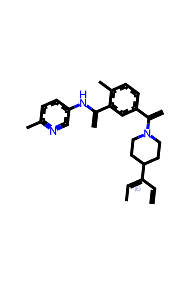 C=C/C(=C\C)C1CCN(C(=C)c2ccc(C)c(C(=C)Nc3ccc(C)nc3)c2)CC1